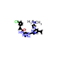 CN(C)[C@@H]1CCN(c2cc(C3CC3)cn3cc(CNc4cc(NC(=O)[C@H]5C[C@@H]5c5cccc(Cl)c5)ncn4)nc23)C1